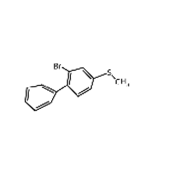 CSc1ccc(-c2ccccc2)c(Br)c1